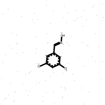 ON=Cc1cc(Cl)cc(Cl)c1